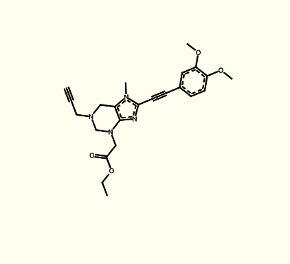 C#CCN1Cc2c(nc(C#Cc3ccc(OC)c(OC)c3)n2C)N(CC(=O)OCC)C1